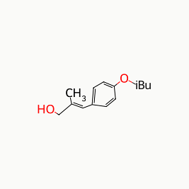 CCC(C)Oc1ccc(/C=C(\C)CO)cc1